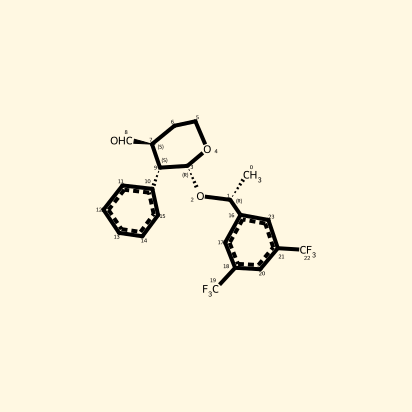 C[C@@H](O[C@H]1OCC[C@H](C=O)[C@H]1c1ccccc1)c1cc(C(F)(F)F)cc(C(F)(F)F)c1